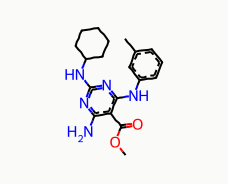 COC(=O)c1c(N)nc(NC2CCCCC2)nc1Nc1cccc(C)c1